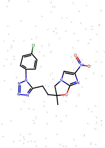 CC1(CCc2nnnn2-c2ccc(Cl)cc2)Cn2cc([N+](=O)[O-])nc2O1